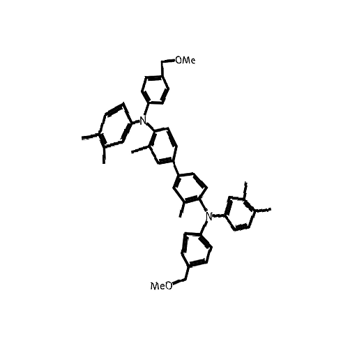 COCc1ccc(N(c2ccc(C)c(C)c2)c2ccc(-c3ccc(N(c4ccc(COC)cc4)c4ccc(C)c(C)c4)c(C)c3)cc2C)cc1